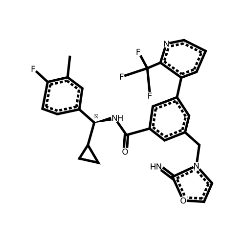 Cc1cc([C@@H](NC(=O)c2cc(Cn3ccoc3=N)cc(-c3cccnc3C(F)(F)F)c2)C2CC2)ccc1F